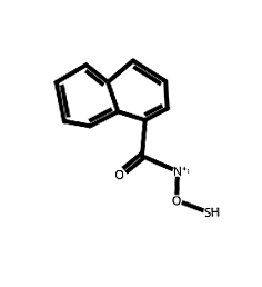 O=C([N+]OS)c1cccc2ccccc12